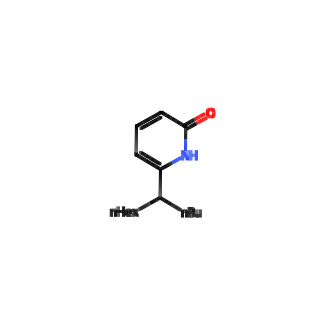 CCCCCCC(CCCC)c1cccc(=O)[nH]1